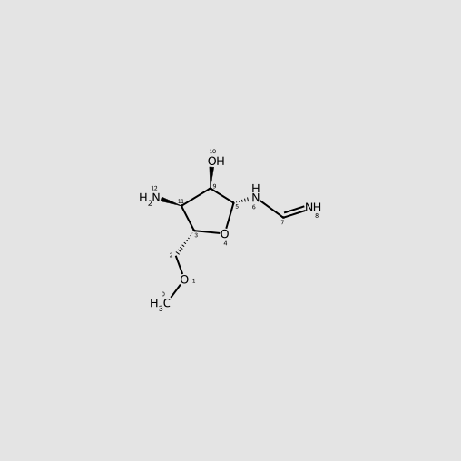 COC[C@H]1O[C@@H](NC=N)[C@H](O)[C@@H]1N